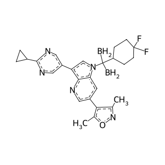 BC(B)(C1CCC(F)(F)CC1)n1cc(-c2cnc(C3CC3)nc2)c2ncc(-c3c(C)noc3C)cc21